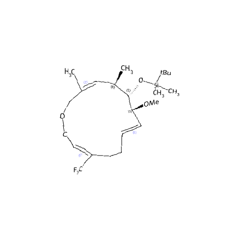 CO[C@H]1/C=C/CC/C(C(F)(F)F)=C\COC/C(C)=C\[C@@H](C)[C@@H]1O[Si](C)(C)C(C)(C)C